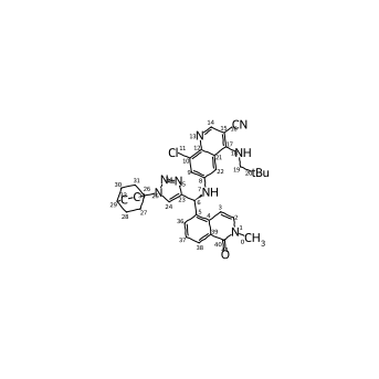 Cn1ccc2c([C@H](Nc3cc(Cl)c4ncc(C#N)c(NCC(C)(C)C)c4c3)c3cn(C45CCC(CC4)CC5)nn3)cccc2c1=O